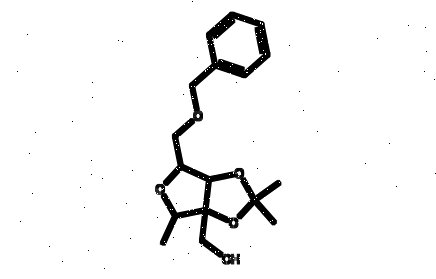 CC1OC(COCc2ccccc2)C2OC(C)(C)OC12CO